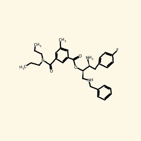 CCCN(CCC)C(=O)c1cc(C)cc(C(=O)O[C@H](CNCc2ccccc2)[C@@H](N)Cc2ccc(F)cc2)c1